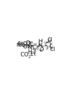 CCOC(=O)[C@H]1C2C(NC(=O)c3cc(Cl)cc(Cl)c3)CC(NC(=O)OC(C)(C)C)(C(=O)OCC)C21